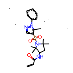 C=CC(=O)NC1CC(C)(C)N(S(=O)(=O)c2cnn(-c3ccccc3)c2C)C1(C)C